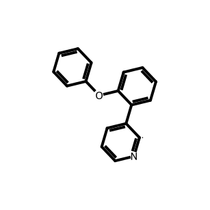 [c]1ncccc1-c1ccccc1Oc1ccccc1